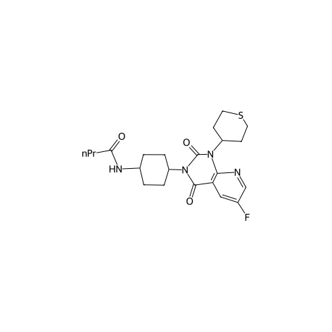 CCCC(=O)NC1CCC(n2c(=O)c3cc(F)cnc3n(C3CCSCC3)c2=O)CC1